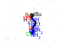 CCC(CCNC(C)c1cc(C(C)(C)C)cc(Br)c1O)NCCNC(=O)c1nc(Cl)c(N)nc1N